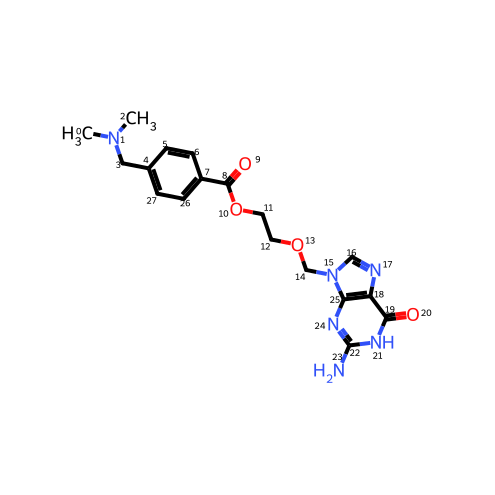 CN(C)Cc1ccc(C(=O)OCCOCn2cnc3c(=O)[nH]c(N)nc32)cc1